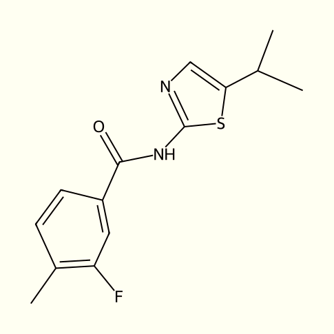 Cc1ccc(C(=O)Nc2ncc(C(C)C)s2)cc1F